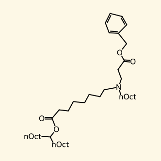 CCCCCCCCC(CCCCCCCC)OC(=O)CCCCCCCN(CCCCCCCC)CCC(=O)OCc1ccccc1